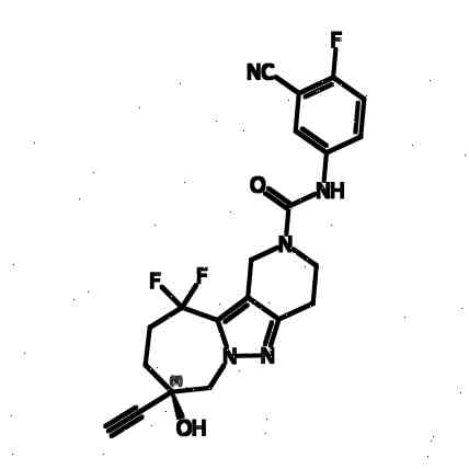 C#C[C@]1(O)CCC(F)(F)c2c3c(nn2C1)CCN(C(=O)Nc1ccc(F)c(C#N)c1)C3